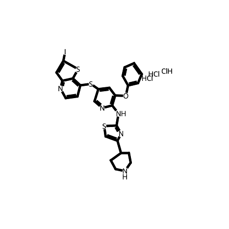 Cl.Cl.Cl.Ic1cc2nccc(Sc3cnc(Nc4nc(C5CCNCC5)cs4)c(Oc4ccccc4)c3)c2s1